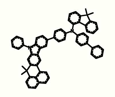 CC1(C)c2ccccc2-c2c(N(c3ccc(-c4ccccc4)cc3)c3ccc(-c4ccc5c(c4)c4cc6c(cc4n5-c4ccccc4)C(C)(C)c4cccc5cccc-6c45)cc3)cccc21